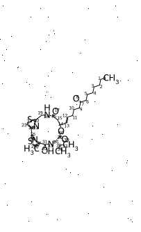 CCCCCCCC(=O)CCC/C=C/[C@@H]1CC(=O)NCc2nc(cs2)C2=N[C@@](C)(CS2)C(=O)N[C@@H](C(C)C)C(=O)O1